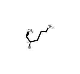 C=C[C@H](CC)CCCN